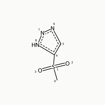 CS(=O)(=O)c1[c]nn[nH]1